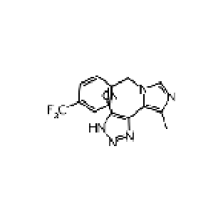 Cc1ncn(Cc2ccc(C(F)(F)F)cc2)c1-c1nn[nH]c1C#N